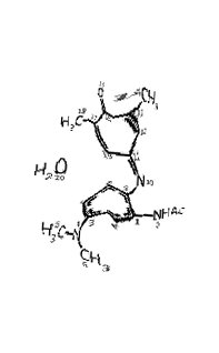 CC(=O)Nc1cc(N(C)C)ccc1N=C1C=C(C)C(=O)C(C)=C1.O